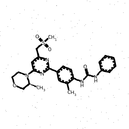 Cc1cc(-c2nc(CS(C)(=O)=O)cc(N3CCOC[C@@H]3C)n2)ccc1NC(=O)Nc1ccccc1